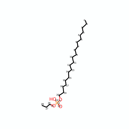 CCCCCCCCCCCCCCCCCCCCCOP(=O)(O)OCCC